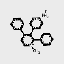 C[n+]1ccc(-c2ccccc2)c(-c2ccccc2)c1-c1ccccc1.P.[I-]